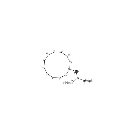 CCCCCCCC(BC1CCCCCCCCCCC1)CCCCCCC